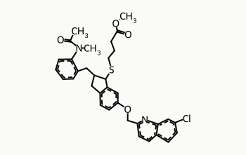 COC(=O)CCCSC1c2cc(OCc3ccc4ccc(Cl)cc4n3)ccc2CC1Cc1ccccc1N(C)C(C)=O